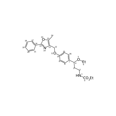 CCOC(=O)NCCC(OCC)c1ccc(OCc2nc(-c3ccccc3)oc2C)cc1